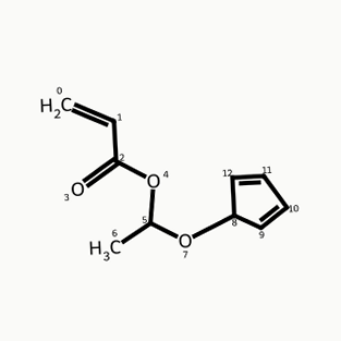 C=CC(=O)OC(C)OC1C=CC=C1